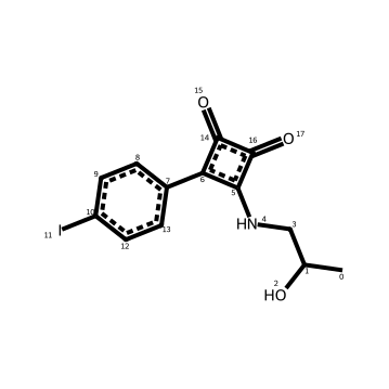 CC(O)CNc1c(-c2ccc(I)cc2)c(=O)c1=O